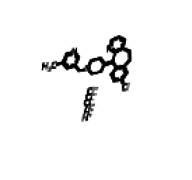 Cc1cncc(CN2CCC(=C3c4ccc(Cl)cc4CCc4cccnc43)CC2)c1.[Cl-].[Cl-].[Cl-].[H+].[H+].[H+]